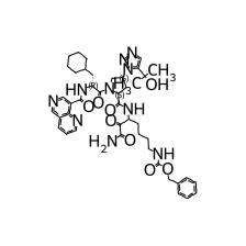 CC(C)(O)c1cnnn1[C@H]1C[C@@H](C(=O)NC(CCCCNC(=O)OCc2ccccc2)C(=O)C(N)=O)N(C(=O)[C@@H](CC2CCCCC2)NC(=O)c2cncc3cccnc23)C1